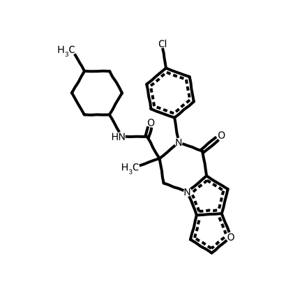 CC1CCC(NC(=O)C2(C)Cn3c(cc4occc43)C(=O)N2c2ccc(Cl)cc2)CC1